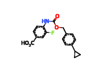 O=C(Nc1ccc(C(=O)O)cc1F)OCc1ccc(C2CC2)cc1